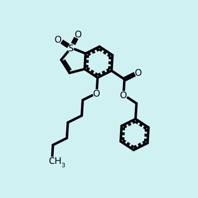 CCCCCCOc1c(C(=O)OCc2ccccc2)ccc2c1C=CS2(=O)=O